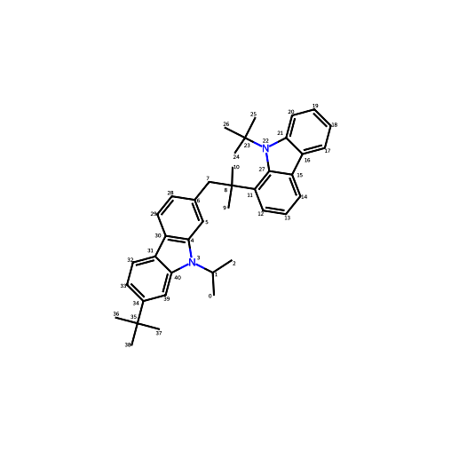 CC(C)n1c2cc(CC(C)(C)c3cccc4c5ccccc5n(C(C)(C)C)c34)ccc2c2ccc(C(C)(C)C)cc21